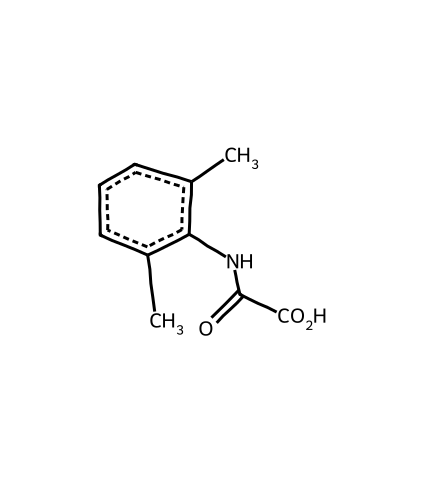 Cc1cccc(C)c1NC(=O)C(=O)O